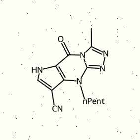 CCCCCn1c2c(C#N)c[nH]c2c(=O)n2c(C)nnc12